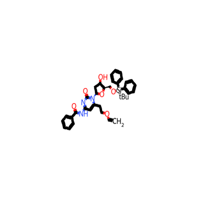 C=COCCc1cc(NC(=O)c2ccccc2)nc(=O)n1[C@H]1CC(O)[C@@H](CO[Si](c2ccccc2)(c2ccccc2)C(C)(C)C)O1